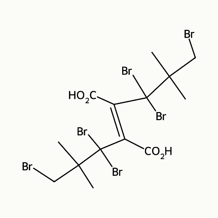 CC(C)(CBr)C(Br)(Br)C(C(=O)O)=C(C(=O)O)C(Br)(Br)C(C)(C)CBr